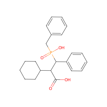 O=C(O)C(C1CCCCC1)C(c1ccccc1)P(=O)(O)Cc1ccccc1